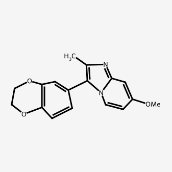 COc1ccn2c(-c3ccc4c(c3)OCCO4)c(C)nc2c1